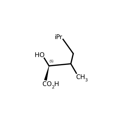 CC(C)CC(C)[C@H](O)C(=O)O